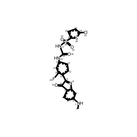 CNc1ccc2c(c1)N=C(c1ccc(NC(=O)NS(=O)(=O)c3ccc(Cl)s3)cc1F)C2=O